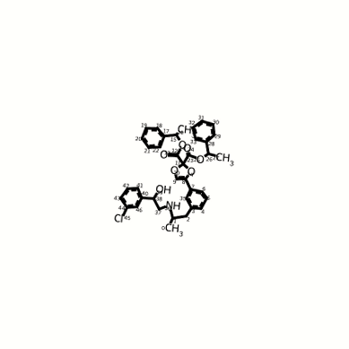 CC(Cc1cccc(C2=COC(C(=O)OC(C)c3ccccc3)(C(=O)OC(C)c3ccccc3)O2)c1)NCC(O)c1cccc(Cl)c1